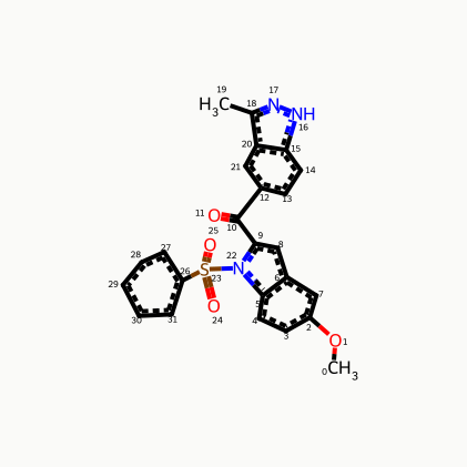 COc1ccc2c(c1)cc(C(=O)c1ccc3[nH]nc(C)c3c1)n2S(=O)(=O)c1ccccc1